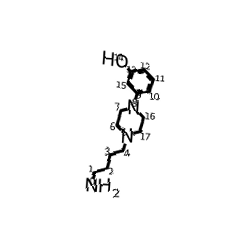 NCCCCN1CCN(c2cccc(O)c2)CC1